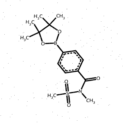 CN(C(=O)c1ccc(B2OC(C)(C)C(C)(C)O2)cc1)S(C)(=O)=O